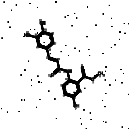 COC(=O)c1cc(O)ccc1NC(=O)/C=C/c1ccc(O)c(O)c1